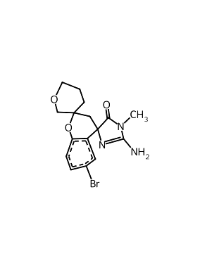 CN1C(=O)C2(CC3(CCCOC3)Oc3ccc(Br)cc32)N=C1N